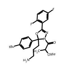 COC(C)C(=O)N1N=C(c2cc(F)ccc2F)OC1(CCCN)c1ccc(C(C)(C)C)cc1